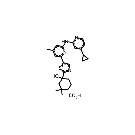 Cc1cc(Nc2cc(C3CC3)ccn2)nc(-c2cnc(C3(O)CC[C@H](C(=O)O)C(C)(C)C3)s2)c1